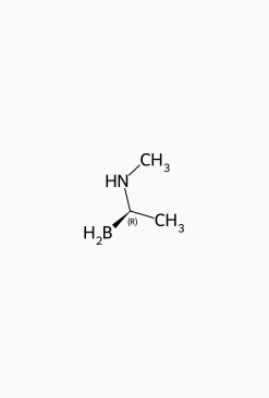 B[C@H](C)NC